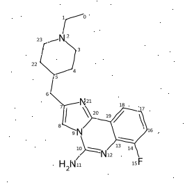 CCN1CCC(Cc2cn3c(N)nc4c(F)cccc4c3n2)CC1